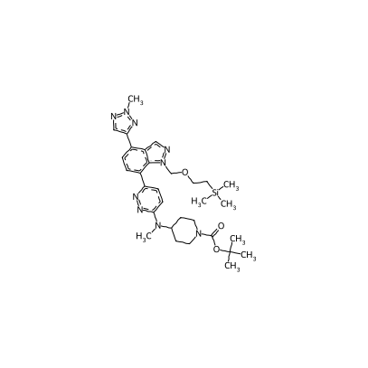 CN(c1ccc(-c2ccc(-c3cnn(C)n3)c3cnn(COCC[Si](C)(C)C)c23)nn1)C1CCN(C(=O)OC(C)(C)C)CC1